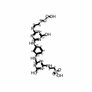 O=S(=O)(O)CCNc1nc(O)nc(Nc2cccc(Nc3nc(O)nc(/N=C\CSOOO)n3)c2)n1